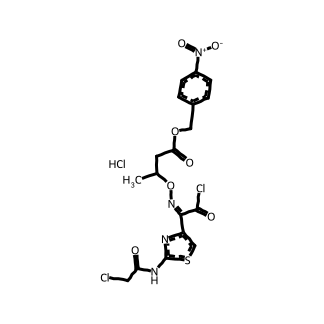 CC(CC(=O)OCc1ccc([N+](=O)[O-])cc1)O/N=C(\C(=O)Cl)c1csc(NC(=O)CCl)n1.Cl